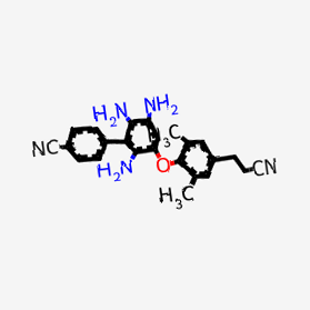 Cc1cc(CCC#N)cc(C)c1Oc1cc(N)c(N)c(-c2ccc(C#N)cc2)c1N